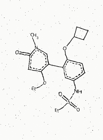 CCOc1cc(=O)n(C)cc1-c1cc(NS(=O)(=O)CC)ccc1OC1CCC1